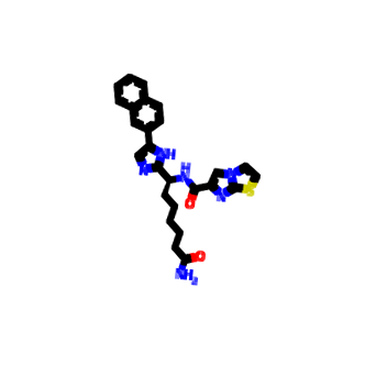 NC(=O)CCCCC[C@H](NC(=O)c1cn2ccsc2n1)c1ncc(-c2ccc3ccccc3c2)[nH]1